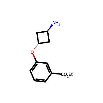 CCOC(=O)c1cccc(O[C@H]2C[C@H](N)C2)c1